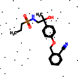 CCCS(=O)(=O)NCC(C)(O)c1ccc(OCc2ccccc2C#N)cc1